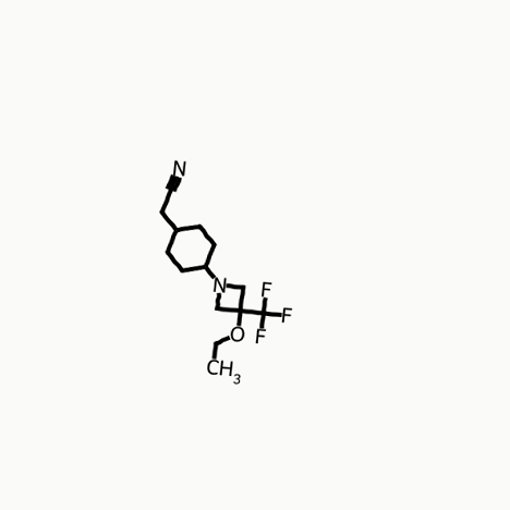 CCOC1(C(F)(F)F)CN(C2CCC(CC#N)CC2)C1